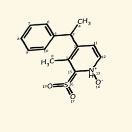 CC1=C(C(C)c2ccccc2)C=C[NH+]([O-])C1=S(=O)=O